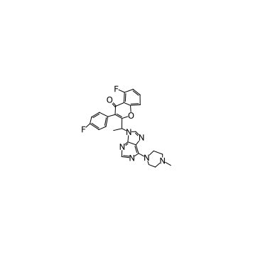 CC(c1oc2cccc(F)c2c(=O)c1-c1ccc(F)cc1)n1cnc2c(N3CCN(C)CC3)ncnc21